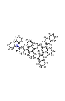 C1=CC2c3ccccc3N(c3cccc(-c4c5ccccc5c(C5C=Cc6c(c(-c7ccc8ccccc8c7)c7ccccc7c6-c6ccc7ccccc7c6)C5)c5ccccc45)c3)C2C=C1